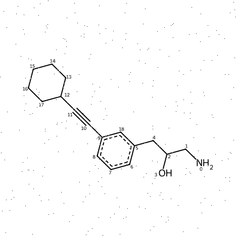 NCC(O)Cc1cccc(C#CC2CCCCC2)c1